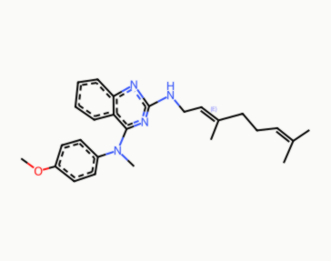 COc1ccc(N(C)c2nc(NC/C=C(\C)CCC=C(C)C)nc3ccccc23)cc1